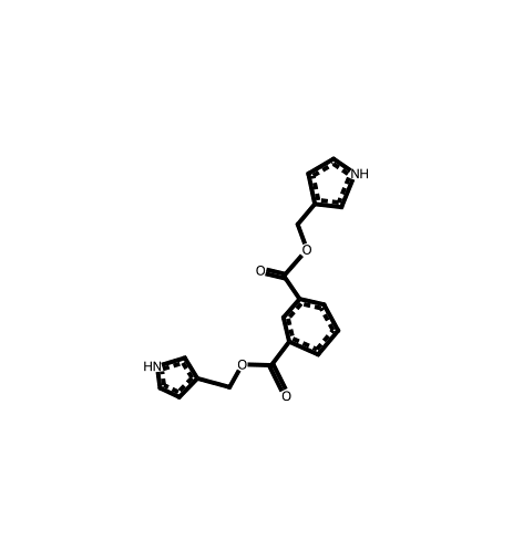 O=C(OCc1cc[nH]c1)c1cccc(C(=O)OCc2cc[nH]c2)c1